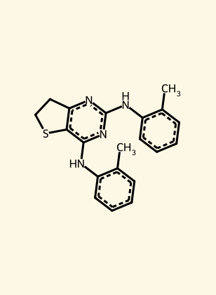 Cc1ccccc1Nc1nc2c(c(Nc3ccccc3C)n1)SCC2